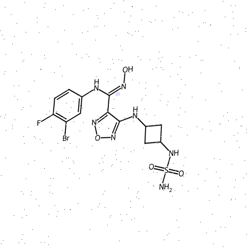 NS(=O)(=O)NC1CC(Nc2nonc2/C(=N/O)Nc2ccc(F)c(Br)c2)C1